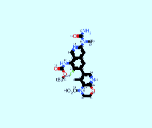 Cc1c(-c2cc3cc(N(C(N)=O)C(C)C)ncc3c(NC(=O)OC(C)(C)C)c2F)cnc2c1N(C(=O)O)CCO2